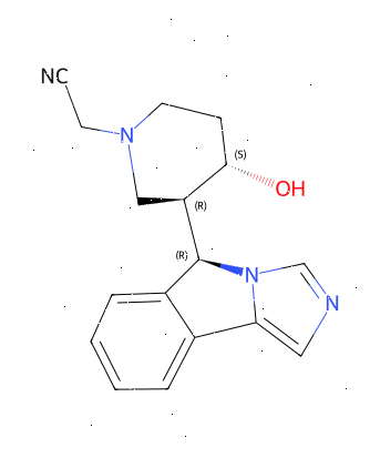 N#CCN1CC[C@H](O)[C@@H]([C@@H]2c3ccccc3-c3cncn32)C1